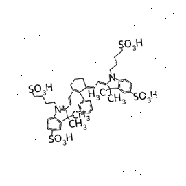 CC1(C)C(/C=C/C2=C(c3ccccc3)C(=C/C=C3/N(CCCCS(=O)(=O)O)c4ccc(S(=O)(=O)O)cc4C3(C)C)/CCC2)=[N+](CCCCS(=O)(=O)O)c2ccc(S(=O)(=O)O)cc21